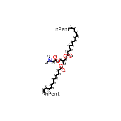 CCCCC/C=C\C/C=C\CCCCCCCC(=O)OCC(COC(=O)CCCCCCC/C=C\C/C=C\CCCCC)COC(=O)CN(C)C